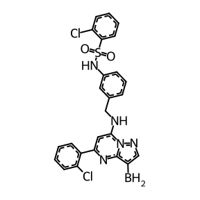 Bc1cnn2c(NCc3cccc(NS(=O)(=O)c4ccccc4Cl)c3)cc(-c3ccccc3Cl)nc12